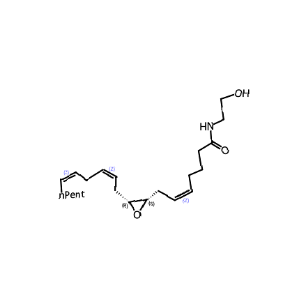 CCCCC/C=C\C/C=C\C[C@H]1O[C@H]1C/C=C\CCCC(=O)NCCO